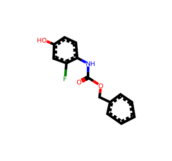 O=C(Nc1ccc(O)cc1F)OCc1ccccc1